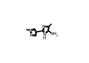 Cc1nc(-c2cnn(C)c2)[nH]c1N